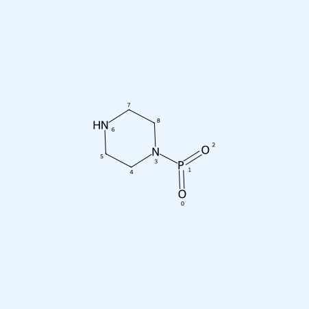 O=P(=O)N1CCNCC1